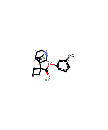 Cl.O=C(Oc1cccc([N+](=O)[O-])c1)C1(C2CN3CCC2CC3)CCC1